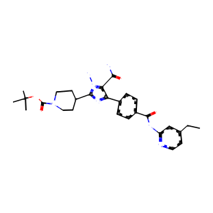 CCc1ccnc(NC(=O)c2ccc(-c3nc(C4CCN(C(=O)OC(C)(C)C)CC4)n(N)c3C(N)=O)cc2)c1